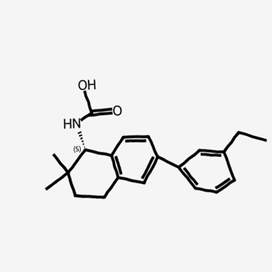 CCc1cccc(-c2ccc3c(c2)CCC(C)(C)[C@@H]3NC(=O)O)c1